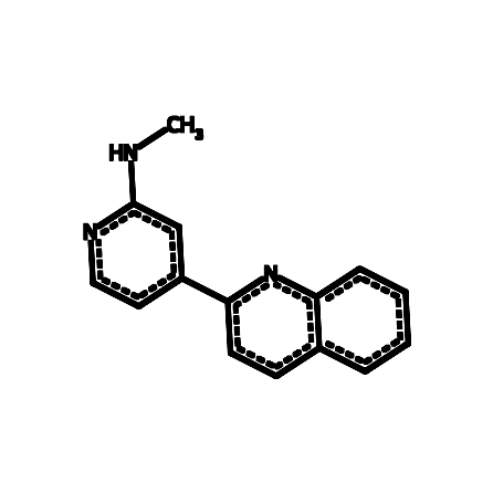 CNc1cc(-c2ccc3ccccc3n2)ccn1